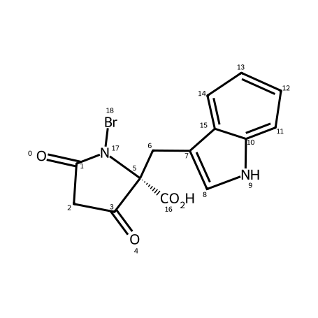 O=C1CC(=O)[C@@](Cc2c[nH]c3ccccc23)(C(=O)O)N1Br